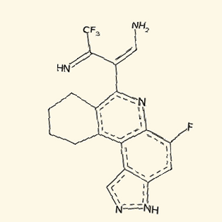 N=C(/C(=C\N)c1nc2c(F)cc3[nH]ncc3c2c2c1CCCC2)C(F)(F)F